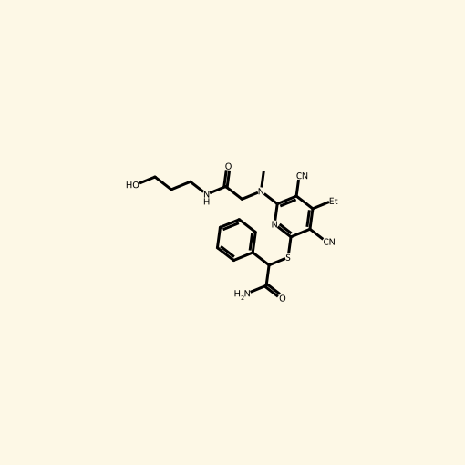 CCc1c(C#N)c(SC(C(N)=O)c2ccccc2)nc(N(C)CC(=O)NCCCO)c1C#N